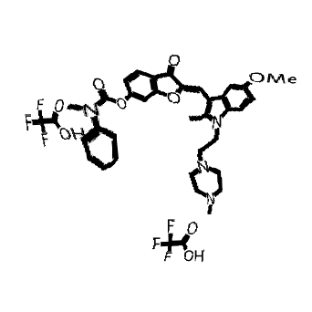 COc1ccc2c(c1)c(/C=C1\Oc3cc(OC(=O)N(C)c4ccccc4)ccc3C1=O)c(C)n2CCN1CCN(C)CC1.O=C(O)C(F)(F)F.O=C(O)C(F)(F)F